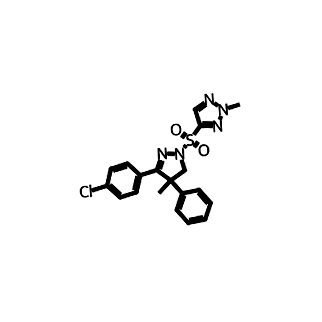 Cn1ncc(S(=O)(=O)N2CC(C)(c3ccccc3)C(c3ccc(Cl)cc3)=N2)n1